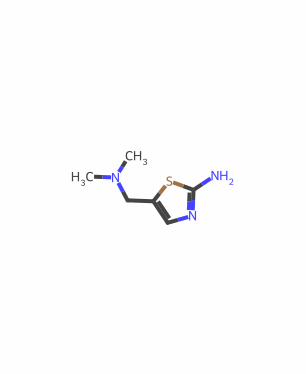 CN(C)Cc1cnc(N)s1